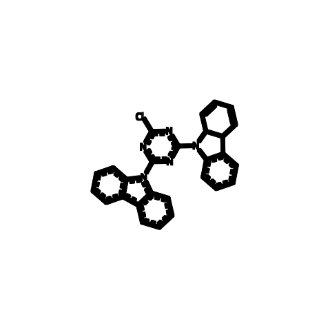 Clc1nc(N2c3ccccc3C3C=CC=CC32)nc(-n2c3ccccc3c3ccccc32)n1